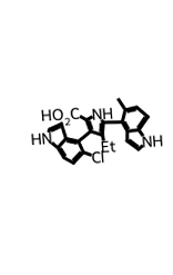 CCc1c(-c2c(C)ccc3[nH]ccc23)[nH]c(C(=O)O)c1-c1c(Cl)ccc2[nH]ccc12